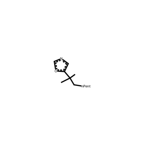 CCCCCCC(C)(C)c1cnco1